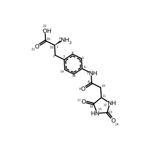 N[C@@H](Cc1ccc(NC(=O)CC2NC(=O)NC2=O)cc1)C(=O)O